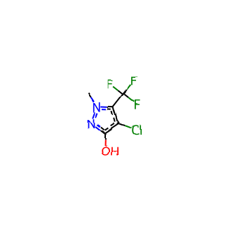 Cn1nc(O)c(Cl)c1C(F)(F)F